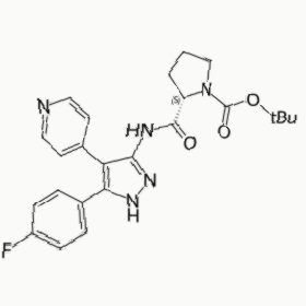 CC(C)(C)OC(=O)N1CCC[C@H]1C(=O)Nc1n[nH]c(-c2ccc(F)cc2)c1-c1ccncc1